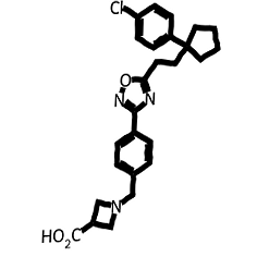 O=C(O)C1CN(Cc2ccc(-c3noc(CCC4(c5ccc(Cl)cc5)CCCC4)n3)cc2)C1